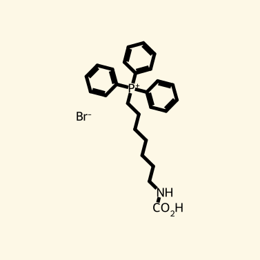 O=C(O)NCCCCCCC[P+](c1ccccc1)(c1ccccc1)c1ccccc1.[Br-]